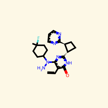 C=Cc1c(N(N)C2CCC(C)(F)CC2)nc([C@H]2CC[C@@H]2c2ncccn2)[nH]c1=O